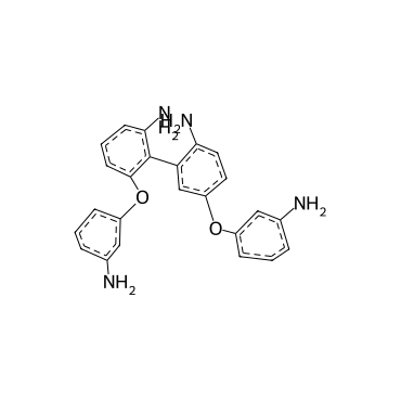 Nc1cccc(Oc2ccc(N)c(-c3c(N)cccc3Oc3cccc(N)c3)c2)c1